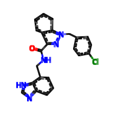 O=C(NCc1cccc2nc[nH]c12)c1nn(Cc2ccc(Cl)cc2)c2ccccc12